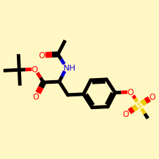 CC(=O)NC(Cc1ccc(OS(C)(=O)=O)cc1)C(=O)OC(C)(C)C